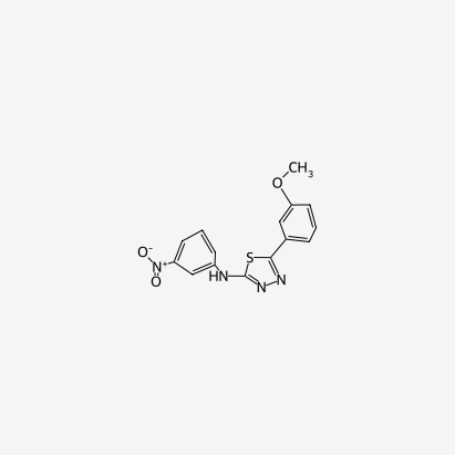 COc1cccc(-c2nnc(Nc3cccc([N+](=O)[O-])c3)s2)c1